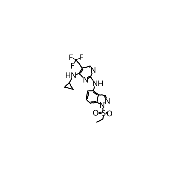 CCS(=O)(=O)n1ncc2c(Nc3ncc(C(F)(F)F)c(NC4CC4)n3)cccc21